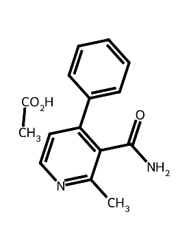 CC(=O)O.Cc1nccc(-c2ccccc2)c1C(N)=O